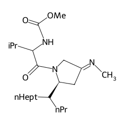 CCCCCCCC(CCC)[C@@H]1C/C(=N\C)CN1C(=O)C(NC(=O)OC)C(C)C